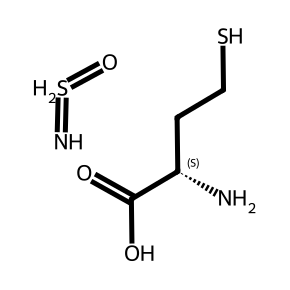 N=[SH2]=O.N[C@@H](CCS)C(=O)O